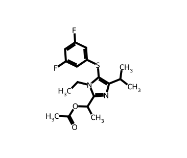 CCn1c(C(C)OC(C)=O)nc(C(C)C)c1Sc1cc(F)cc(F)c1